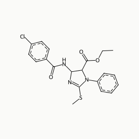 CCOC(=O)C1C(NC(=O)c2ccc(Cl)cc2)N=C(SC)N1c1ccccc1